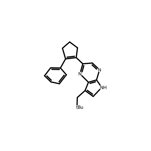 CC(C)(C)Cc1c[nH]c2ncc(C3=C(c4ccccc4)CCC3)nc12